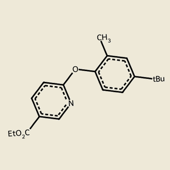 CCOC(=O)c1ccc(Oc2ccc(C(C)(C)C)cc2C)nc1